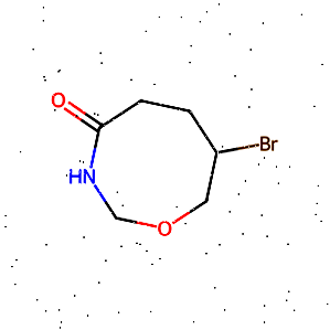 O=C1CCC(Br)COCN1